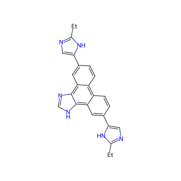 CCc1ncc(-c2ccc3c4ccc(-c5cnc(CC)[nH]5)cc4c4[nH]cnc4c3c2)[nH]1